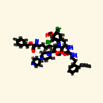 COc1ccccc1CCNC(=O)N[C@H](Cc1cc(Br)c(O)c(Br)c1)C(=O)N[C@@H](CCCCNC(=O)OCc1ccccc1)C(=O)N1CCN(c2ccncc2)CC1